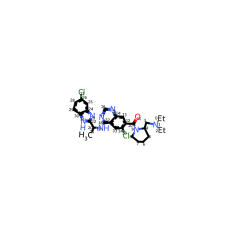 CCN(CC)CC1CCCCN1C(=O)c1cc2ncnc(NC(C)c3nc4cc(Cl)ccc4[nH]3)c2cc1Cl